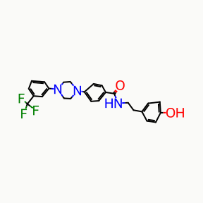 O=C(NCCc1ccc(O)cc1)c1ccc(N2CCN(c3cccc(C(F)(F)F)c3)CC2)cc1